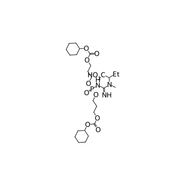 CCC(C(=O)O)N(C)C(=N)NP(=O)(OCCCOC(=O)OC1CCCCC1)OCCCOC(=O)OC1CCCCC1